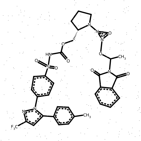 Cc1ccc(-c2cc(C(F)(F)F)nn2-c2ccc(S(=O)(=O)NC(=O)OC[C@@H]3CCCN3n3on3OC(C)N3C(=O)c4ccccc4C3=O)cc2)cc1